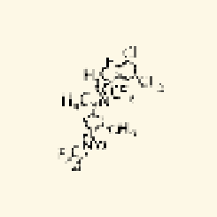 C/C(=N\OC(C)(c1cc(C(F)(F)F)cc(Cl)c1F)C(F)(F)F)c1ccc(C(=O)NCC2(C(F)(F)F)CC2)c(C)c1